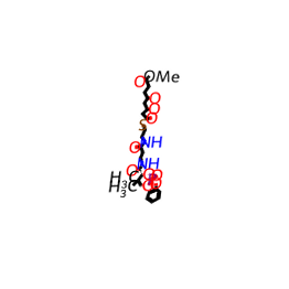 COC(=O)CCC(=O)CC(=O)CC(=O)SCCNC(=O)CCNC(=O)[C@@H]1OP(=O)(Oc2ccccc2)OCC1(C)C